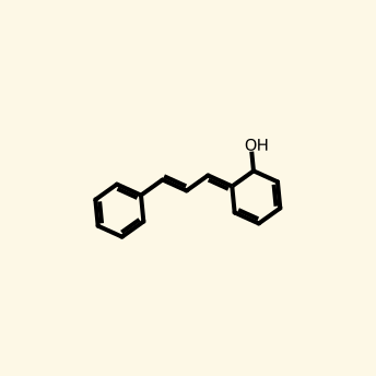 OC1C=CC=C/C1=C\C=C\c1ccccc1